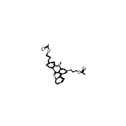 CC(=O)OCCCc1ccc2c(c1)N(C)c1cc(CCCOC(C)=O)cc3c1c-2nc1ccccc13